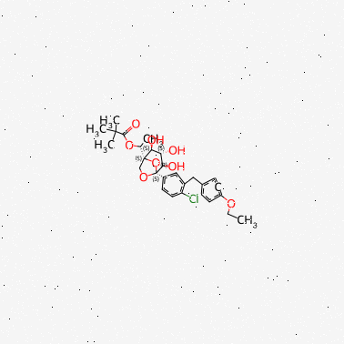 CCOc1ccc(Cc2cc([C@]34OC[C@](C(C)OC(=O)C(C)(C)C)(O3)[C@@H](O)[C@H](O)[C@H]4O)ccc2Cl)cc1